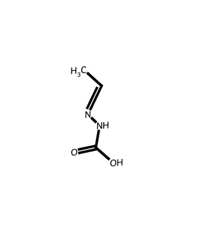 CC=NNC(=O)O